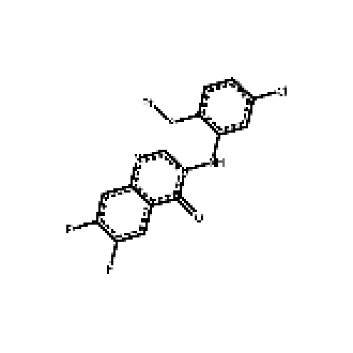 CCSc1ccc(Cl)cc1Nn1cnc2cc(F)c(F)cc2c1=O